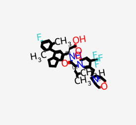 Cc1cc(F)cc(C)c1-c1cc([C@@H](CC(=O)O)NC(=O)[C@H](CC(C)C)n2cc(CCN3C4CC[C@H]3COC4)c(C(F)(F)F)cc2=O)cc2c1CCC2